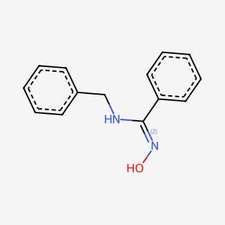 O/N=C(\NCc1ccccc1)c1ccccc1